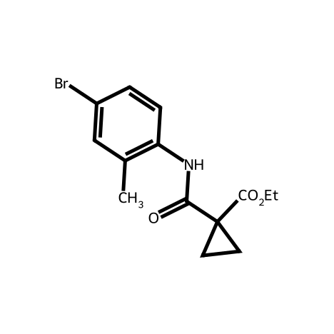 CCOC(=O)C1(C(=O)Nc2ccc(Br)cc2C)CC1